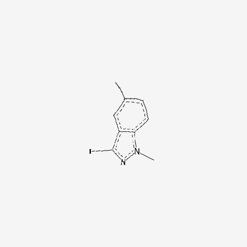 Cc1ccc2c(c1)c(I)nn2C